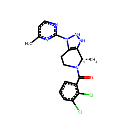 Cc1ccnc(N2NNC3=C2CCN(C(=O)c2cccc(Cl)c2Cl)[C@H]3C)n1